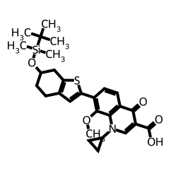 COc1c(-c2cc3c(s2)CC(O[Si](C)(C)C(C)(C)C)CC3)ccc2c(=O)c(C(=O)O)cn(C3CC3)c12